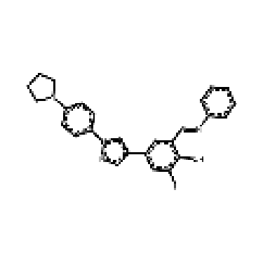 Oc1c(F)cc(-c2cnn(-c3ccc(N4CCCC4)cc3)c2)cc1/C=N/c1ccccc1